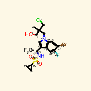 CC(CO)(CCl)Cn1cc([C@H](NS(=O)(=O)C2CC2)C(F)(F)F)c2cc(F)c(Br)cc21